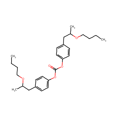 CCCCOC(C)Cc1ccc(OC(=O)Oc2ccc(CC(C)OCCCC)cc2)cc1